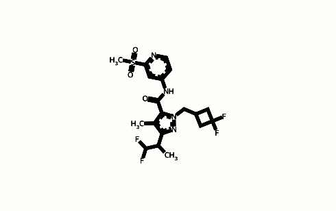 Cc1c(C(C)C(F)F)nn(CC2CC(F)(F)C2)c1C(=O)Nc1ccnc(S(C)(=O)=O)c1